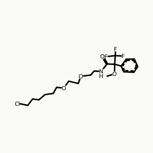 COC(C(=O)NCCOCCOCCCCCCCl)(c1ccccc1)C(F)(F)F